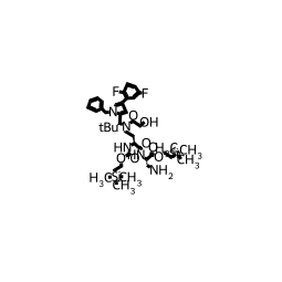 CC(C)(C)[C@H](c1cc(-c2cc(F)ccc2F)cn1Cc1ccccc1)N(CC[C@H](NC(=O)OCC[Si](C)(C)C)C(=O)N[C@@H](CN)C(=O)OCC[Si](C)(C)C)C(=O)CO